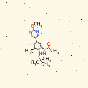 COc1ncc(-c2cc(C)c3c(c2)c(C(C)=O)nn3CC(C)(C)C)cn1